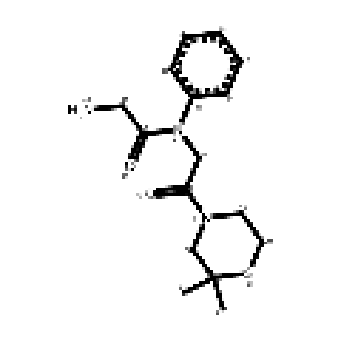 CC1(C)CN(C(=O)CN(C(=O)CN)c2ccccc2)CCS1